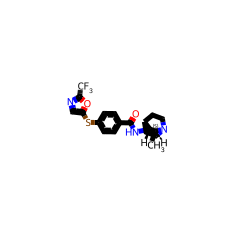 C[C@H]1[C@H](NC(=O)c2ccc(Sc3cnc(C(F)(F)F)o3)cc2)C2CCN1CC2